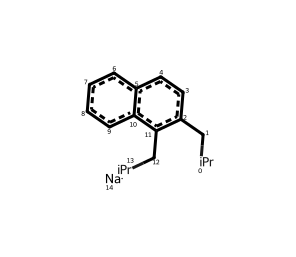 CC(C)Cc1ccc2ccccc2c1CC(C)C.[Na]